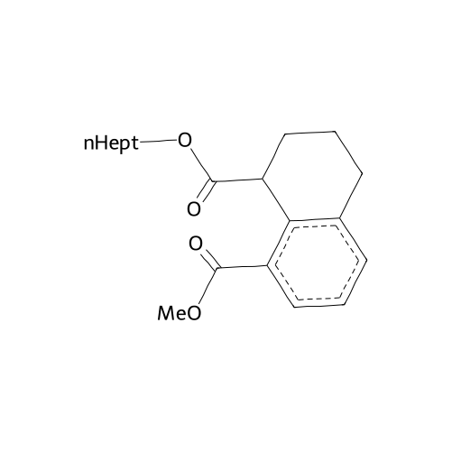 CCCCCCCOC(=O)C1CCCc2cccc(C(=O)OC)c21